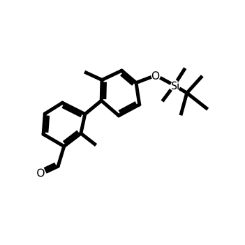 Cc1cc(O[Si](C)(C)C(C)(C)C)ccc1-c1cccc(C=O)c1C